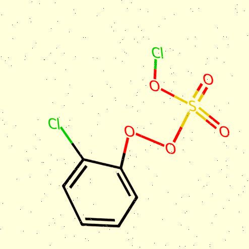 O=S(=O)(OCl)OOc1ccccc1Cl